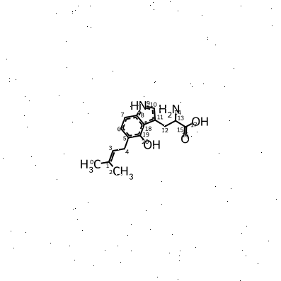 CC(C)=CCc1ccc2[nH]cc(CC(N)C(=O)O)c2c1O